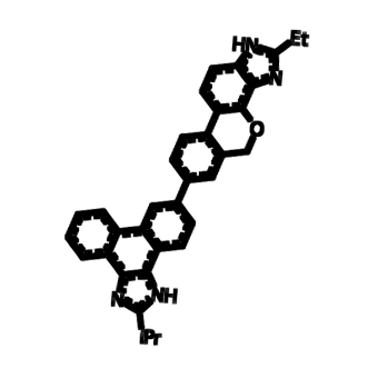 CCc1nc2c3c(ccc2[nH]1)-c1ccc(-c2ccc4c(c2)c2ccccc2c2nc(C(C)C)[nH]c42)cc1CO3